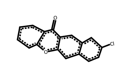 O=c1c2ccccc2oc2cc3ccc(Cl)cc3cc12